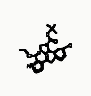 CCOC(=O)c1[nH]ccc1NCc1ccc(Cl)cc1C1CCCN1C(=O)OC(C)(C)C